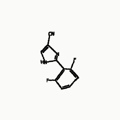 N#Cc1c[nH]c(-c2c(F)cccc2F)n1